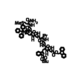 CSCC[C@H](NC(=O)CNC(=O)[C@H](Cc1cn(C(c2ccccc2)(c2ccccc2)c2ccccc2)cn1)NC(=O)CNC(=O)[C@@H](NC(=O)CNC(=O)[C@H](Cc1cn(C(=O)OC(C)(C)C)c2ccccc12)NC(=O)CNC(=O)OCC1c2ccccc2-c2ccccc21)C(C)C)C(N)=O